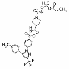 CCC(=O)OC(C)O/N=[N+](\[O-])N1CCC(C(=O)NS(=O)(=O)c2ccc(-n3nc(C(F)(F)F)cc3-c3ccc(C)cc3)cc2)CC1